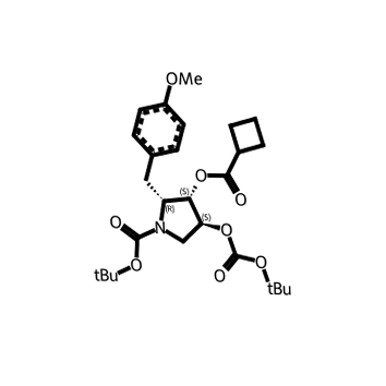 COc1ccc(C[C@@H]2[C@H](OC(=O)C3CCC3)[C@@H](OC(=O)OC(C)(C)C)CN2C(=O)OC(C)(C)C)cc1